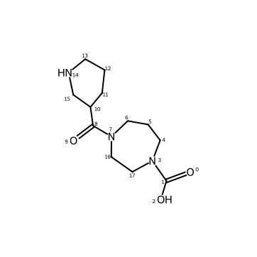 O=C(O)N1CCCN(C(=O)C2CCCNC2)CC1